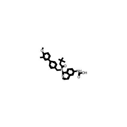 COc1ccc(-c2ccc(CN(C(=O)CC(C)(C)C)c3nccc4cc(NC(=O)O)ccc34)cc2)cc1C